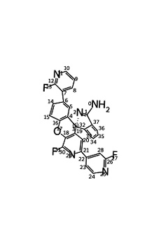 NC1=N[C@]2(c3cc(-c4cccnc4F)ccc3Oc3c2cc(-c2ccnc(F)c2)nc3F)c2ccccc21